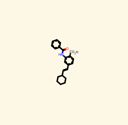 O=C(Nc1cc(C=CC2CCCCC2)ccc1C(=O)O)c1ccccc1